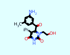 Cc1cc(N)cc(C(=O)c2c(C(C)C)c(=O)[nH]c(=O)n2CCO)c1